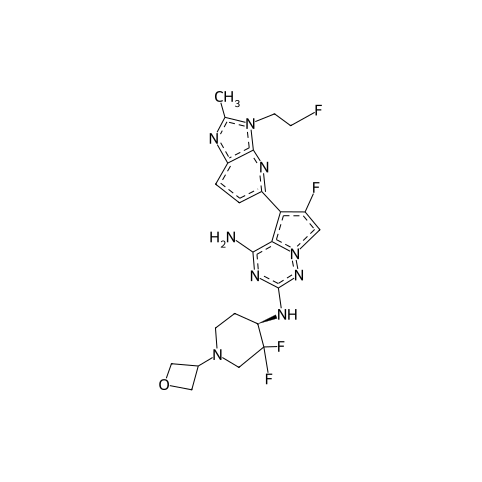 Cc1nc2ccc(-c3c(F)cn4nc(N[C@@H]5CCN(C6COC6)CC5(F)F)nc(N)c34)nc2n1CCF